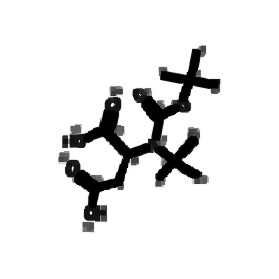 CC(C)(C)OC(=O)N([C@@H](CC(=O)O)C(=O)O)C(C)(C)C